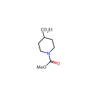 CCOC(=O)C1CCN(C(=O)OC)CC1